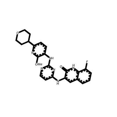 COc1nc(C2CCOCC2)ccc1Nc1nccc(Nc2cc3cccc(F)c3[nH]c2=O)n1